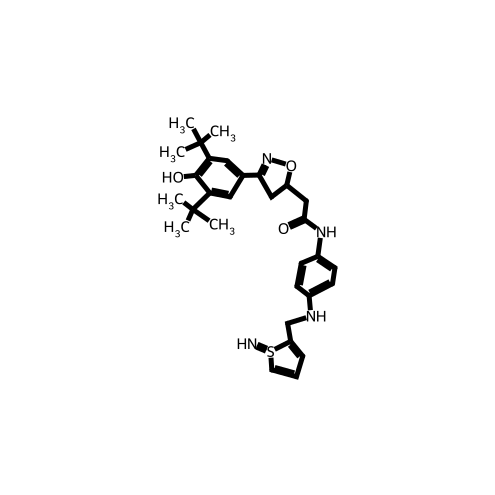 CC(C)(C)c1cc(C2=NOC(CC(=O)Nc3ccc(NCC4=CC=CS4=N)cc3)C2)cc(C(C)(C)C)c1O